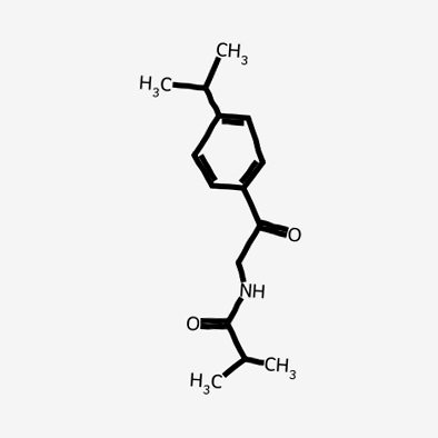 CC(C)C(=O)NCC(=O)c1ccc(C(C)C)cc1